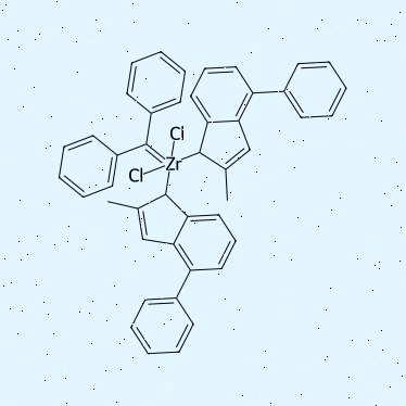 CC1=Cc2c(-c3ccccc3)cccc2[CH]1[Zr]([Cl])([Cl])(=[C](c1ccccc1)c1ccccc1)[CH]1C(C)=Cc2c(-c3ccccc3)cccc21